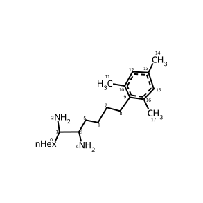 CCCCCCC(N)C(N)CCCCc1c(C)cc(C)cc1C